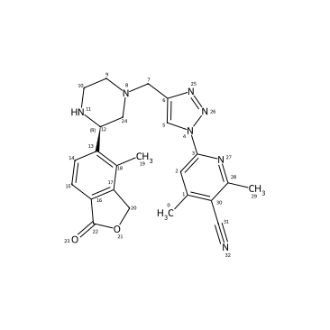 Cc1cc(-n2cc(CN3CCN[C@H](c4ccc5c(c4C)COC5=O)C3)nn2)nc(C)c1C#N